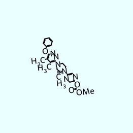 COC(=O)Oc1cnc(N2CCN(c3nnc(Oc4ccccc4)c(C)c3C)C[C@H]2C)cn1